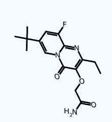 CCc1nc2c(F)cc(C(C)(C)C)cn2c(=O)c1OCC(N)=O